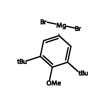 COc1c(C(C)(C)C)c[c]cc1C(C)(C)C.[Br][Mg][Br]